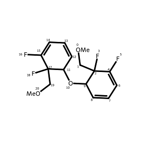 COCC1(F)C(F)=CC=CC1OC1C=CC=C(F)C1(F)COC